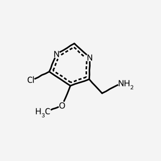 COc1c(Cl)ncnc1CN